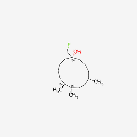 CC1CCC[C@](O)(CF)CCCC[C@H](C)[C@@H](C)CC1